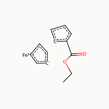 CCOC(=O)c1ccc[cH-]1.[Fe+2].c1cc[cH-]c1